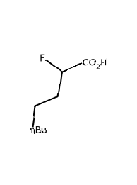 CCCCCCC(F)C(=O)O